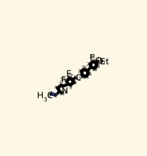 C/C=C/c1ccc(-c2ccc(CCc3ccc(-c4ccc(OCC)c(F)c4)cc3)c(F)c2F)nc1